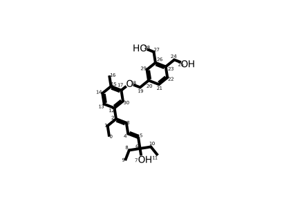 CCC(=CC=CC(O)(CC)CC)c1ccc(C)c(OCc2ccc(CO)c(CO)c2)c1